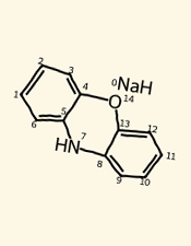 [NaH].c1ccc2c(c1)Nc1ccccc1O2